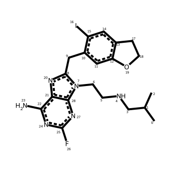 CC(C)CNCCn1c(Cc2cc3c(cc2I)CCO3)nc2c(N)nc(F)nc21